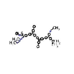 C=C\C=C/C=C/C(C=C)=C/C=C/N(c1ccc(-c2ccc(N(c3ccc(-c4ccccc4)cc3)C3C=CC(c4ccc(N(c5ccc(-c6ccc(N(C7=CCC(/C=C/CCC=C)C=C7)c7ccc(C(C=C)CC=C)cc7)cc6)cc5)c5ccc(C6C=CC=CC6)cc5)cc4)=CC3)cc2)cc1)C(C=C)C/C=C/c1ccccc1